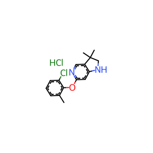 Cc1cccc(Cl)c1Oc1cc2c(cn1)C(C)(C)CN2.Cl